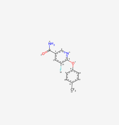 NC(=O)c1cnc(Oc2ccc(C(F)(F)F)cc2)c(F)c1